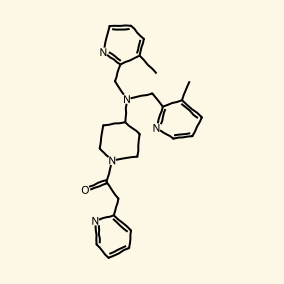 Cc1cccnc1CN(Cc1ncccc1C)C1CCN(C(=O)Cc2ccccn2)CC1